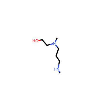 CNCCCN(C)CCO